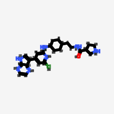 O=C(NCCC1CCC(Nc2cc(-c3c[nH]c4nccnc34)cc(Cl)n2)CC1)C1CCNC1